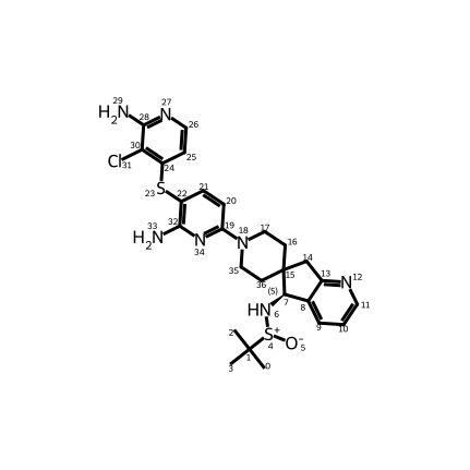 CC(C)(C)[S+]([O-])N[C@@H]1c2cccnc2CC12CCN(c1ccc(Sc3ccnc(N)c3Cl)c(N)n1)CC2